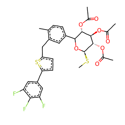 CS[C@H]1OC(c2ccc(C)c(Cc3ccc(-c4cc(F)c(F)c(F)c4)s3)c2)[C@H](OC(C)=O)[C@@H](OC(C)=O)[C@@H]1OC(C)=O